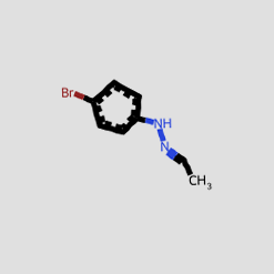 C/C=N/Nc1ccc(Br)cc1